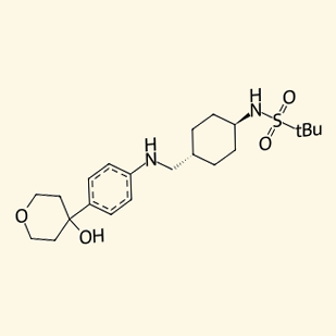 CC(C)(C)S(=O)(=O)N[C@H]1CC[C@H](CNc2ccc(C3(O)CCOCC3)cc2)CC1